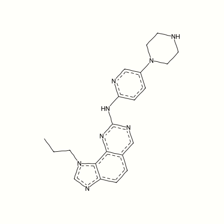 CCCn1cnc2ccc3cnc(Nc4ccc(N5CCNCC5)cn4)nc3c21